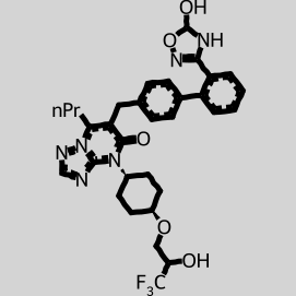 CCCc1c(Cc2ccc(-c3ccccc3C3=NOC(O)N3)cc2)c(=O)n([C@H]2CC[C@H](OCC(O)C(F)(F)F)CC2)c2ncnn12